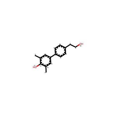 Cc1cc(-c2ccc(CCO)cc2)cc(C)c1O